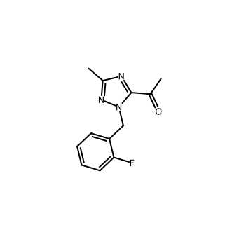 CC(=O)c1nc(C)nn1Cc1ccccc1F